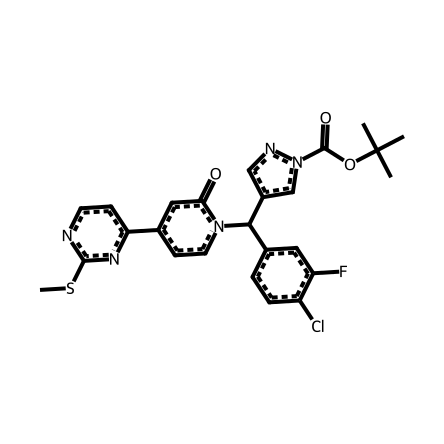 CSc1nccc(-c2ccn(C(c3ccc(Cl)c(F)c3)c3cnn(C(=O)OC(C)(C)C)c3)c(=O)c2)n1